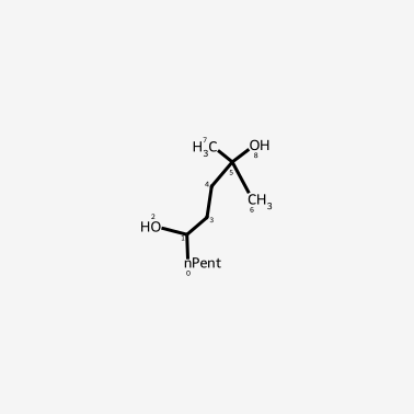 CCCCCC(O)CCC(C)(C)O